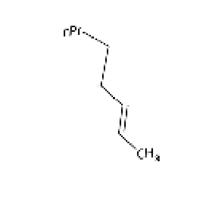 C/C=C/[CH]CCCC